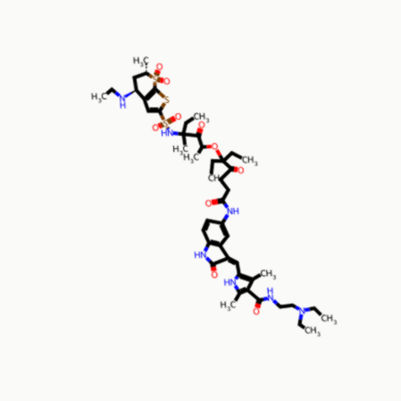 CCN[C@H]1C[C@H](C)S(=O)(=O)c2sc(S(=O)(=O)NC(C)(CC)C(=O)C(C)OC(CC)(CC)C(=O)CCC(=O)Nc3ccc4c(c3)/C(=C/c3[nH]c(C)c(C(=O)NCCN(CC)CC)c3C)C(=O)N4)cc21